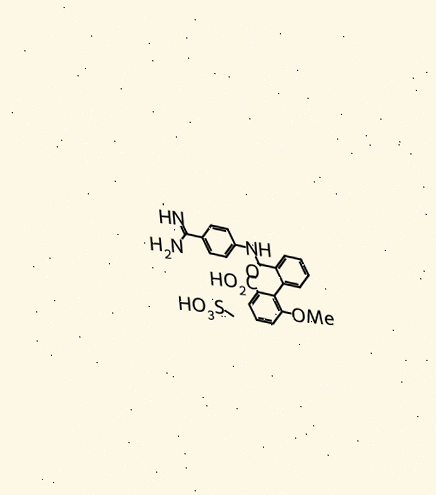 COc1cccc(C(=O)O)c1-c1ccccc1C(=O)Nc1ccc(C(=N)N)cc1.CS(=O)(=O)O